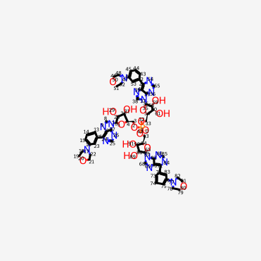 O=P(OC[C@H]1O[C@@H](n2cnc3c(-c4cccc(N5CCOCC5)c4)ncnc32)[C@H](O)[C@@H]1O)(OC[C@H]1O[C@@H](n2cnc3c(-c4cccc(N5CCOCC5)c4)ncnc32)[C@H](O)[C@@H]1O)OC[C@H]1O[C@@H](n2cnc3c(-c4cccc(N5CCOCC5)c4)ncnc32)[C@H](O)[C@@H]1O